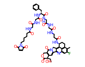 CC[C@@]1(O)C(=O)OCc2c1cc1n(c2=O)Cc2c-1nc1cc(F)c(C)c3c1c2[C@@H](NC(=O)CCNC(=O)CNC(=O)CNC(=O)[C@H](Cc1ccccc1)NC(=O)CNC(=O)CNC(=O)CCCCCN1C(=O)C=CC1=O)CC3